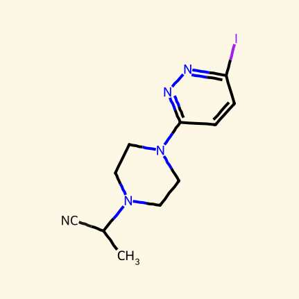 CC(C#N)N1CCN(c2ccc(I)nn2)CC1